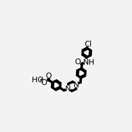 O=C(Nc1ccc(Cl)cc1)c1ccc(CN2CCN(Cc3ccc(C(=O)OO)cc3)CC2)cc1